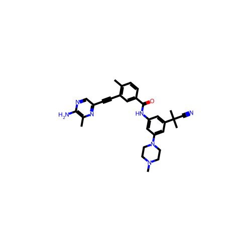 Cc1ccc(C(=O)Nc2cc(N3CCN(C)CC3)cc(C(C)(C)C#N)c2)cc1C#Cc1cnc(N)c(C)n1